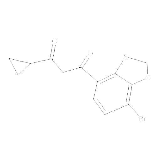 O=C(CC(=O)C1CC1)c1ccc(Br)c2c1SCO2